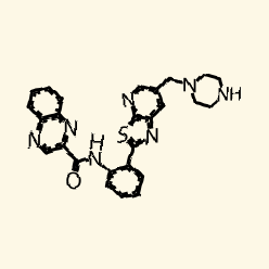 O=C(Nc1ccccc1-c1nc2cc(CN3CCNCC3)cnc2s1)c1cnc2ccccc2n1